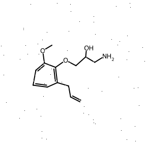 C=CCc1cccc(OC)c1OCC(O)CN